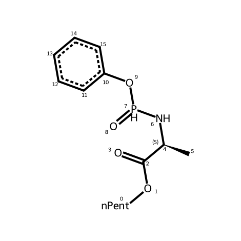 CCCCCOC(=O)[C@H](C)N[PH](=O)Oc1ccccc1